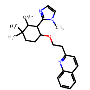 COC1C(c2nccn2C)C(OCCc2ccc3ccccc3n2)CCC1(C)C